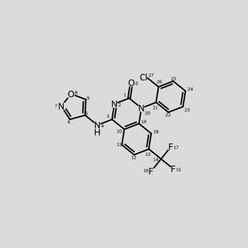 O=c1nc(Nc2cnoc2)c2ccc(C(F)(F)F)cc2n1-c1ccccc1Cl